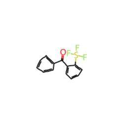 O=C(c1ccccc1)c1ccccc1S(F)(F)F